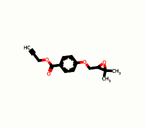 C#CCOC(=O)c1ccc(OCC2OC2(C)C)cc1